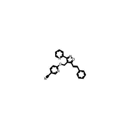 N#Cc1ccc(OCc2c(-c3ccccn3)noc2C=Cc2ccccc2)nc1